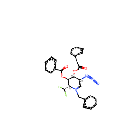 [N-]=[N+]=N[C@H]1CN(Cc2ccccc2)[C@H](C(F)F)C(OC(=O)c2ccccc2)[C@@H]1OC(=O)c1ccccc1